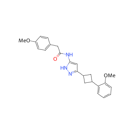 COc1ccc(CC(=O)Nc2cc(C3CC(c4ccccc4OC)C3)n[nH]2)cc1